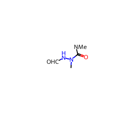 CNC(=O)N(C)NC=O